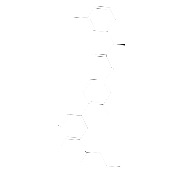 Cc1cccc([C@@H](O)C(=O)Nc2ccc(-c3cnc(N)c(C(=O)NC(C)C)c3)c(C)c2)c1